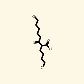 O=C(Cl)C(CCCCCl)C(=O)CCCCCCl